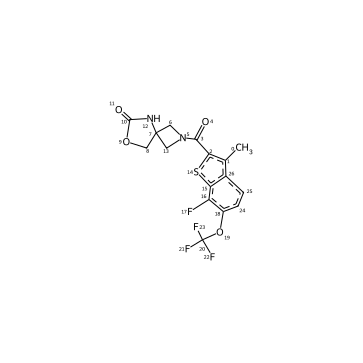 Cc1c(C(=O)N2CC3(COC(=O)N3)C2)sc2c(F)c(OC(F)(F)F)ccc12